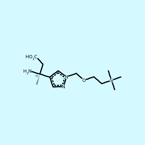 C[C@](N)(CC(=O)O)c1cnn(COCC[Si](C)(C)C)c1